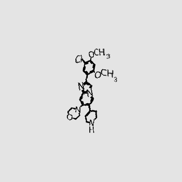 COc1cc(OC)c(-c2cn3cc(C4=CCNCC4)c(N4CCOCC4)cc3n2)cc1Cl